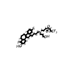 O=S(=O)(CCCN(CCCO)CCCCCCC1=C(c2ccc(F)cc2)CCCc2c1ccc(O)c2F)CCC(F)(F)F